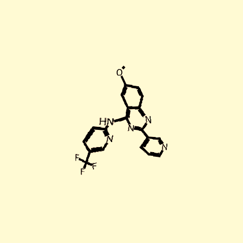 COc1ccc2nc(-c3cccnc3)nc(Nc3ccc(C(F)(F)F)cn3)c2c1